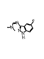 CN(C)/C=N\c1n[nH]c2ccc(F)cc12